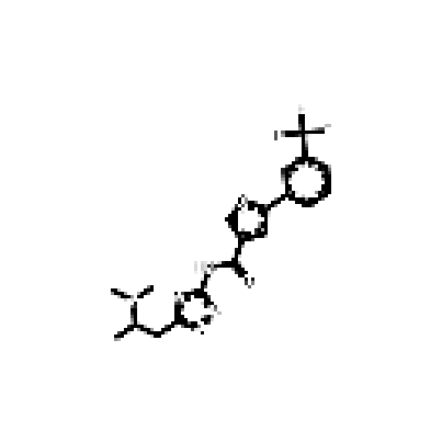 CC(Cc1nsc(NC(=O)c2coc(-c3cccc(C(F)(F)F)c3)c2)n1)N(C)C